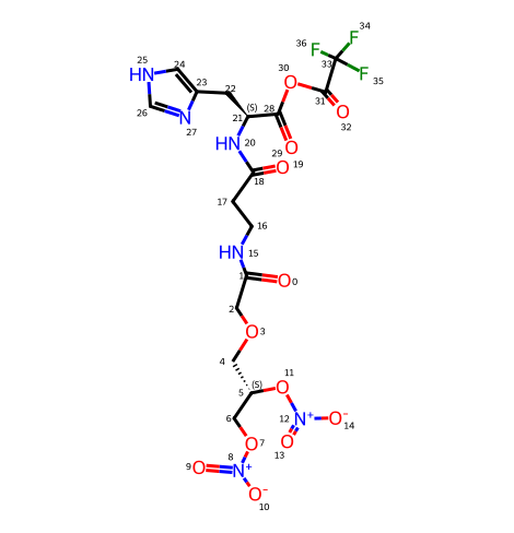 O=C(COC[C@@H](CO[N+](=O)[O-])O[N+](=O)[O-])NCCC(=O)N[C@@H](Cc1c[nH]cn1)C(=O)OC(=O)C(F)(F)F